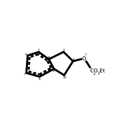 CCOC(=O)OC1Cc2ccccc2C1